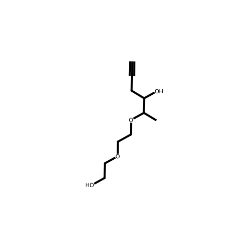 C#CCC(O)C(C)OCCOCCO